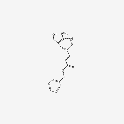 Nc1ncc(/C=C/C(=O)OCc2ccccc2)cc1CO